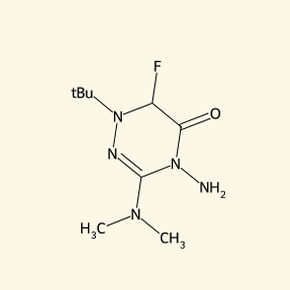 CN(C)C1=NN(C(C)(C)C)C(F)C(=O)N1N